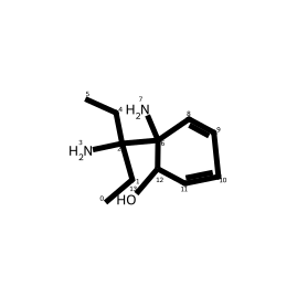 CCC(N)(CC)C1(N)C=CC=CC1O